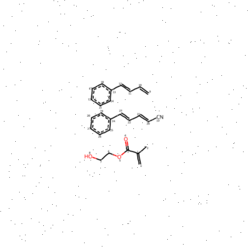 C=C(C)C(=O)OCCO.C=CC=Cc1ccccc1.N#CC=CC=Cc1ccccc1